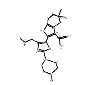 CNCc1nc(N2CCN(C)CC2)sc1-c1sc2c(c1C(=O)O)CC(C)(C)CC2